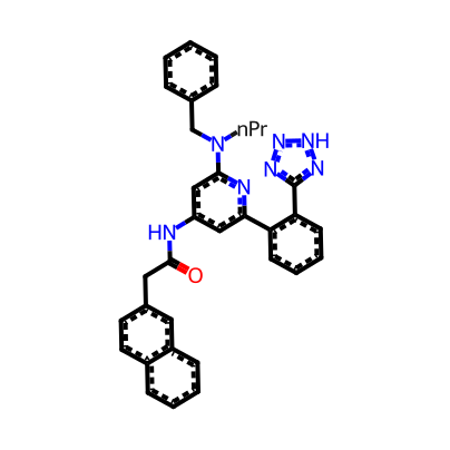 CCCN(Cc1ccccc1)c1cc(NC(=O)Cc2ccc3ccccc3c2)cc(-c2ccccc2-c2nn[nH]n2)n1